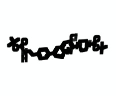 CC(C)(C)OC(=O)NCCc1ccc(-c2ccc3nc(N4CCN(C(=O)OC(C)(C)C)CC4)c(Cl)cc3c2)cc1